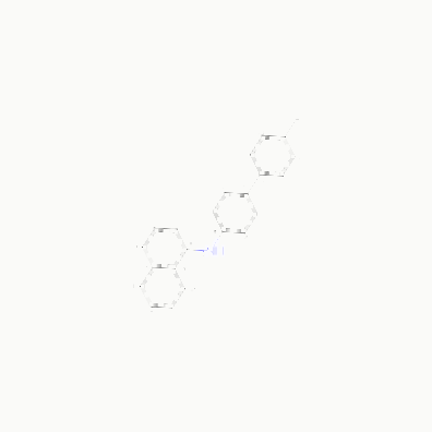 Cc1ccc(-c2ccc(Nc3cccc4ccccc34)cc2)cc1